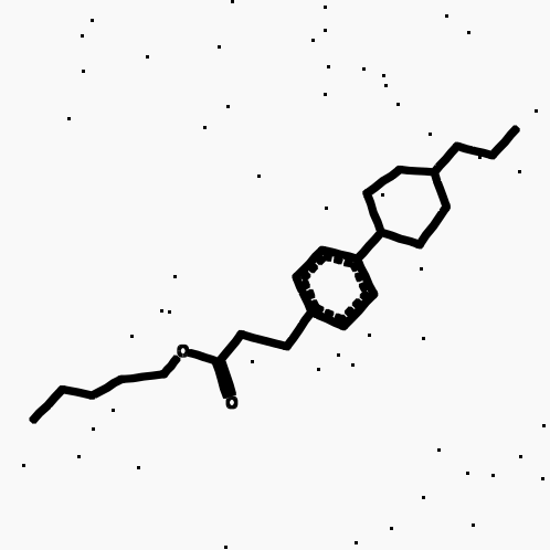 CCCCCOC(=O)CCc1ccc(C2CCC(CCC)CC2)cc1